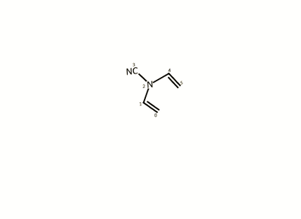 C=CN(C#N)C=C